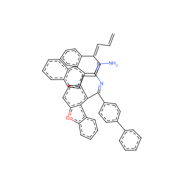 C=C/C=C(\C=C/Cc1ccc2oc3ccccc3c2c1/C(=N\C(=N/N)c1ccc2ccccc2c1)c1ccc(-c2ccccc2)cc1)c1ccccc1